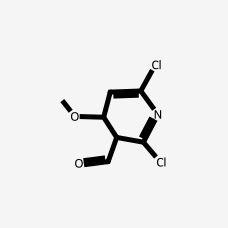 COC1C=C(Cl)N=C(Cl)C1C=O